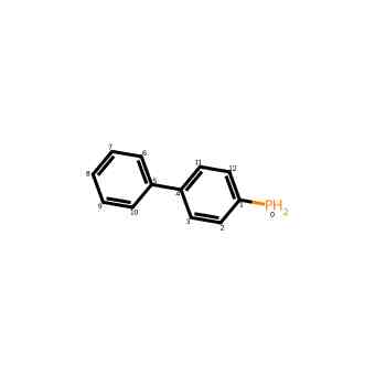 Pc1ccc(-c2cc[c]cc2)cc1